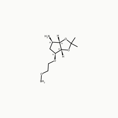 BOCCO[C@H]1C[C@@H](N)[C@@H]2OC(C)(C)O[C@@H]21